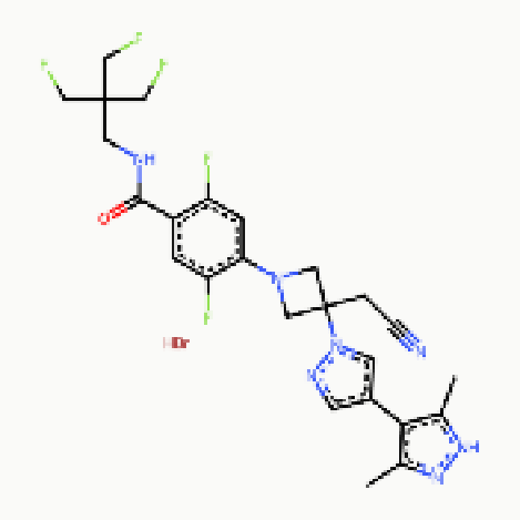 Br.Cc1n[nH]c(C)c1-c1cnn(C2(CC#N)CN(c3cc(F)c(C(=O)NCC(CF)(CF)CF)cc3F)C2)c1